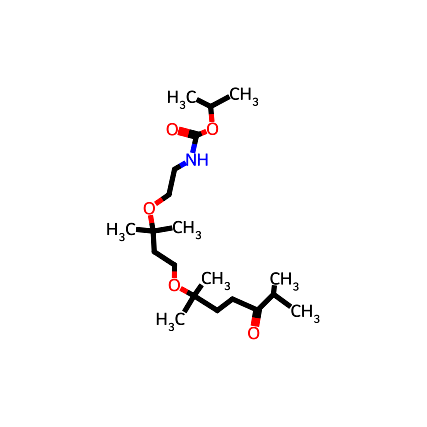 CC(C)OC(=O)NCCOC(C)(C)CCOC(C)(C)CCC(=O)C(C)C